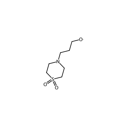 [O]CCCN1CCS(=O)(=O)CC1